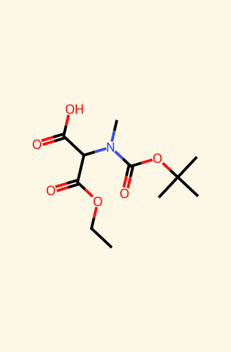 CCOC(=O)C(C(=O)O)N(C)C(=O)OC(C)(C)C